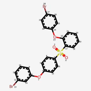 O=S(=O)(c1ccc(Oc2cccc(Br)c2)cc1)c1ccccc1Oc1ccc(Br)cc1